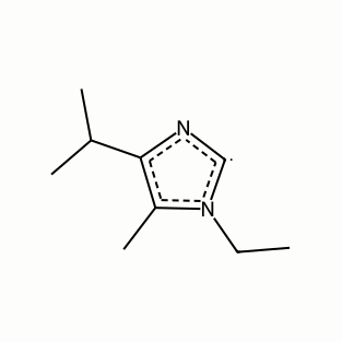 CCn1[c]nc(C(C)C)c1C